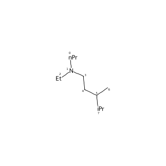 CCCN(CC)CCC(C)C(C)C